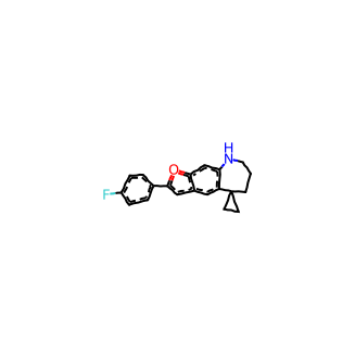 Fc1ccc(-c2cc3cc4c(cc3o2)NCCCC42CC2)cc1